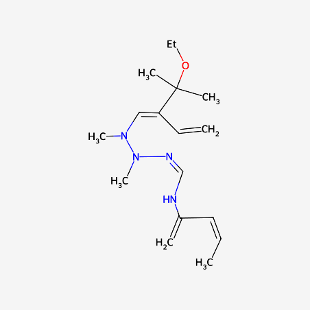 C=C/C(=C\N(C)N(C)/N=C\NC(=C)/C=C\C)C(C)(C)OCC